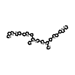 c1ccc(-c2cc(-c3ccc(-c4ccc5cc(-c6ccc7nc(-c8ccccn8)ccc7c6)ccc5n4)cc3)cc(-c3ccc(-c4ccc(-c5cc(-c6cccc(-c7ccc8cc(-c9ccc%10nc(-c%11ccc%12ccc%13cccnc%13c%12n%11)ccc%10c9)ccc8n7)c6)cc(-c6ccccn6)n5)nc4)cn3)n2)nc1